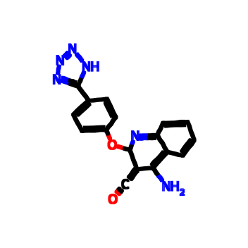 NC1=c2ccccc2=NC(Oc2ccc(-c3nnn[nH]3)cc2)C1=C=O